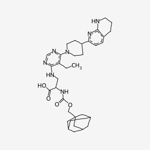 CCc1c(NCC(NC(=O)OCC23CC4CC(CC(C4)C2)C3)C(=O)O)ncnc1N1CCC(c2ccc3c(n2)NCCC3)CC1